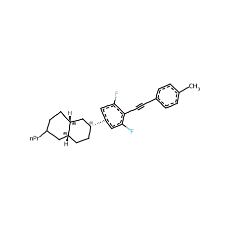 CCCC1CC[C@@H]2C[C@H](c3cc(F)c(C#Cc4ccc(C)cc4)c(F)c3)CC[C@@H]2C1